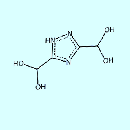 OC(O)c1n[nH]c(C(O)O)n1